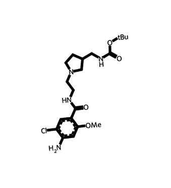 COc1cc(N)c(Cl)cc1C(=O)NCCN1CCC(CNC(=O)OC(C)(C)C)C1